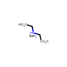 O=C(O)CNCC(=O)O.[BaH2]